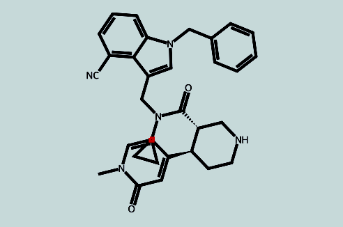 Cn1ccc([C@@H]2CCNC[C@H]2C(=O)N(Cc2cn(Cc3ccccc3)c3cccc(C#N)c23)C2CC2)cc1=O